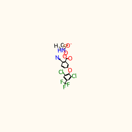 C[S+]([O-])NOOC(=O)c1cc(Oc2c(Cl)cc(C(F)(F)F)cc2Cl)ccc1C#N